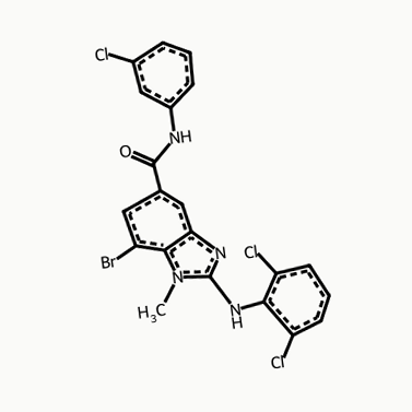 Cn1c(Nc2c(Cl)cccc2Cl)nc2cc(C(=O)Nc3cccc(Cl)c3)cc(Br)c21